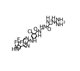 N=C(N)NC[C@H](N)C(=O)NCCNC(=O)c1ccc(Nc2nccn3c(-c4c[nH]nc4C(F)(F)F)cnc23)cc1Cl